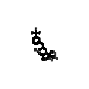 CC(C)(C)N(C[C@@H](N)Cc1cccc(C(F)(F)F)c1)C(=O)O